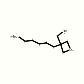 CCCCCCCCCCCCC1(CO)COC1